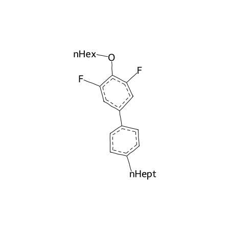 CCCCCCCc1ccc(-c2cc(F)c(OCCCCCC)c(F)c2)cc1